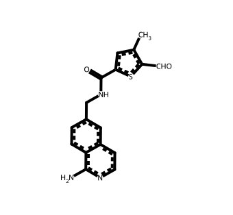 Cc1cc(C(=O)NCc2ccc3c(N)nccc3c2)sc1C=O